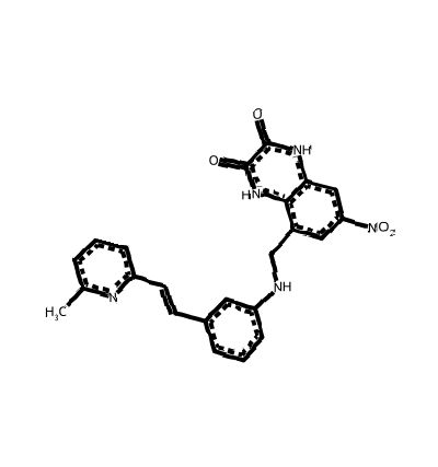 Cc1cccc(C=Cc2cccc(NCc3cc([N+](=O)[O-])cc4[nH]c(=O)c(=O)[nH]c34)c2)n1